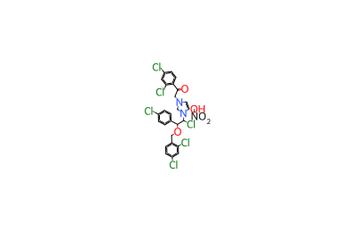 O=C(CN1C=CN(C(Cl)C(OCc2ccc(Cl)cc2Cl)c2ccc(Cl)cc2)C1)c1ccc(Cl)cc1Cl.O=[N+]([O-])O